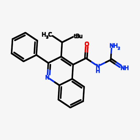 CC(c1c(-c2ccccc2)nc2ccccc2c1C(=O)NC(=N)N)C(C)(C)C